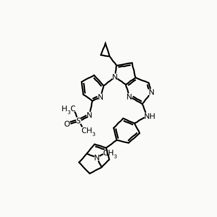 CN1C2C=C(c3ccc(Nc4ncc5cc(C6CC6)n(-c6cccc(N=S(C)(C)=O)n6)c5n4)cc3)CC1CC2